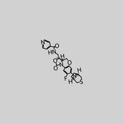 O=C(NC[C@@H]1OC(=O)N2c3cc(F)c(N4[C@@H]5CC[C@H]4CSC5)cc3OC[C@@H]12)c1ccncc1